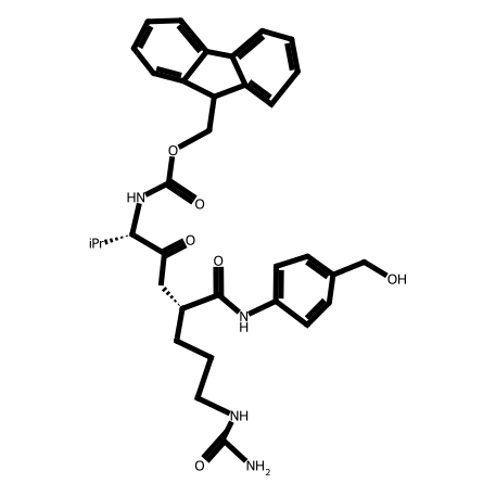 CC(C)[C@H](NC(=O)OCC1c2ccccc2-c2ccccc21)C(=O)C[C@@H](CCCNC(N)=O)C(=O)Nc1ccc(CO)cc1